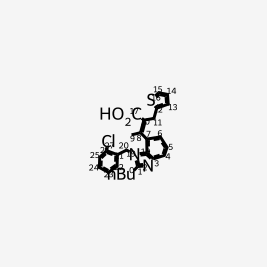 CCCCc1nc2cccc(C(C)=C(Cc3cccs3)C(=O)O)c2n1Cc1ccccc1Cl